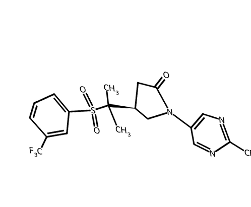 CC(C)([C@H]1CC(=O)N(c2cnc(C(F)(F)F)nc2)C1)S(=O)(=O)c1cccc(C(F)(F)F)c1